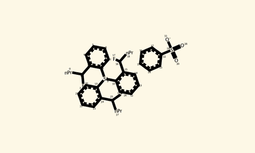 CCCC(F)c1ccccc1[S+](c1ccccc1C(F)CCC)c1ccccc1C(F)CCC.O=S(=O)([O-])c1ccccc1